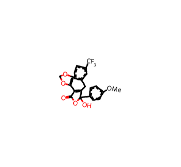 COc1ccc(C2(O)OC(=O)C(C3=COCO3)=C2Cc2cccc(C(F)(F)F)c2)cc1